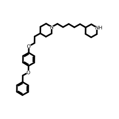 c1ccc(COc2ccc(OCCC3CCN(CCCCCC4CCCNC4)CC3)cc2)cc1